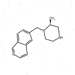 C[C@H]1CNCCN1Cc1ccc2cnccc2c1